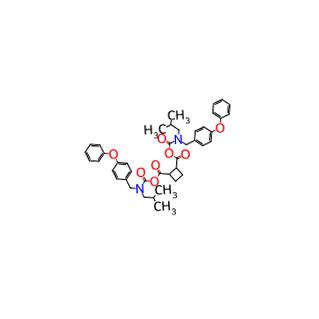 CC(C)CN(Cc1ccc(Oc2ccccc2)cc1)C(=O)OC(=O)C1CCC1C(=O)OC(=O)N(Cc1ccc(Oc2ccccc2)cc1)CC(C)C